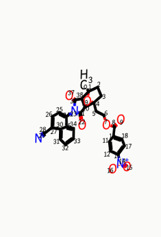 CC12CCC(CCOC(=O)c3ccc([N+](=O)[O-])cc3)(O1)C1C(=O)N(c3ccc(C#N)c4ccccc34)C(=O)C12